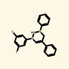 Fc1cc(F)cc(N2C=C(c3ccccc3)CN(c3ccccc3)N2)c1